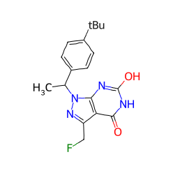 CC(c1ccc(C(C)(C)C)cc1)n1nc(CF)c2c(=O)[nH]c(O)nc21